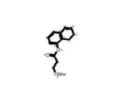 COCCC(=O)Oc1cccc2c1CCC=C2